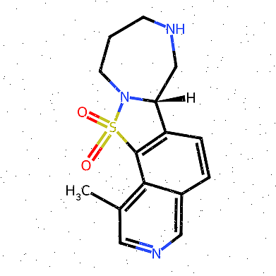 Cc1cncc2ccc3c(c12)S(=O)(=O)N1CCCNC[C@H]31